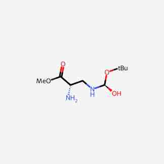 COC(=O)[C@@H](N)CN[C@H](O)OC(C)(C)C